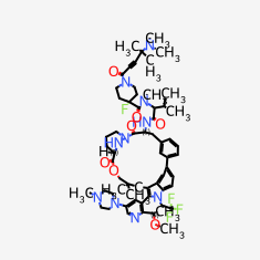 CO[C@@H](C)c1ncc(N2CCN(C)CC2)cc1-c1c2c3cc(ccc3n1CC(F)(F)F)-c1cccc(c1)C[C@H](NC(=O)C(C(C)C)N(C)C(=O)C1(F)CCN(C(=O)C#CC(C)(C)N(C)C)CC1)C(=O)N1CCC[C@H](N1)C(=O)OCC(C)(C)C2